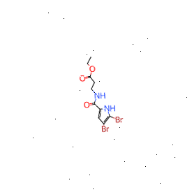 CCOC(=O)CCNC(=O)c1cc(Br)c(Br)[nH]1